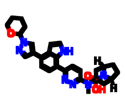 CN(c1ccc(-c2ccc(-c3cnn(C4CCCCO4)c3)c3cc[nH]c23)nn1)C1C[C@H]2CC[C@@H](C1)N2C(=O)O